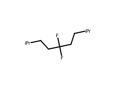 CC(C)CCC(F)(F)CCC(C)C